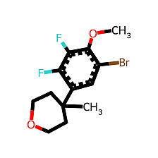 COc1c(Br)cc(C2(C)CCOCC2)c(F)c1F